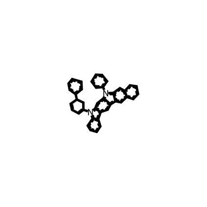 C1=CC(c2ccccc2)CC(n2c3ccccc3c3cc4c5cc6ccccc6cc5n(-c5ccccc5)c4cc32)=C1